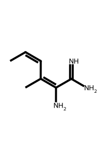 C/C=C\C(C)=C(\N)C(=N)N